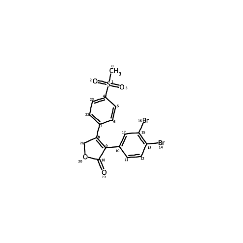 CS(=O)(=O)c1ccc(C2=C(c3ccc(Br)c(Br)c3)C(=O)OC2)cc1